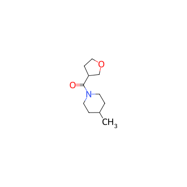 CC1CCN(C(=O)C2CCOC2)CC1